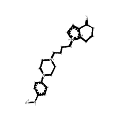 CCOc1ccc(N2CCN(CCCCn3ccc4c3CCCC4=O)CC2)cc1